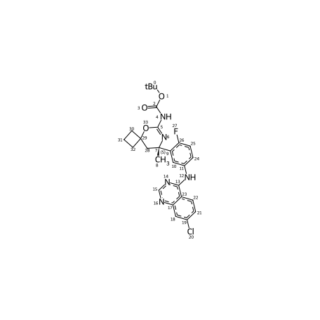 CC(C)(C)OC(=O)NC1=N[C@](C)(c2cc(Nc3ncnc4cc(Cl)ccc34)ccc2F)CC2(CCC2)O1